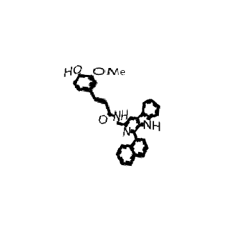 COc1cc(/C=C/C(=O)NCc2cc3c([nH]c4ccccc43)c(-c3cccc4ccccc34)n2)ccc1O